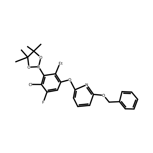 CCc1c(Oc2cccc(OCc3ccccc3)n2)cc(F)c(Cl)c1B1OC(C)(C)C(C)(C)O1